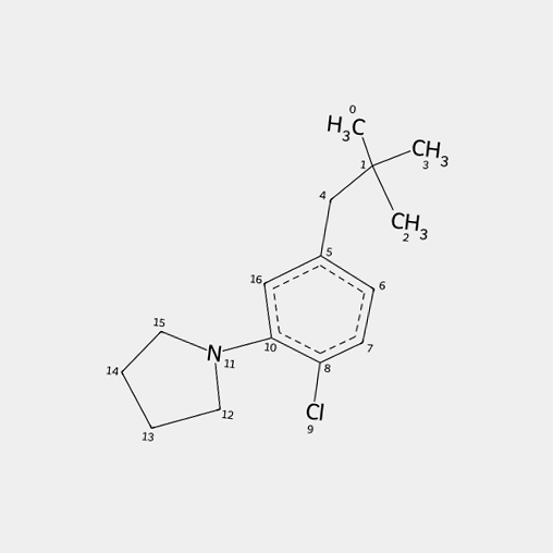 CC(C)(C)Cc1ccc(Cl)c(N2CCCC2)c1